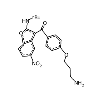 CCCCNc1oc2ccc([N+](=O)[O-])cc2c1C(=O)c1ccc(OCCCN)cc1